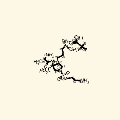 C[C@H](N)C(=O)N[C@@]1(C(=O)O)CN(S(=O)(=O)NCCN)C[C@@H]1CCCB(O)O.O=C(O)C(F)(F)F